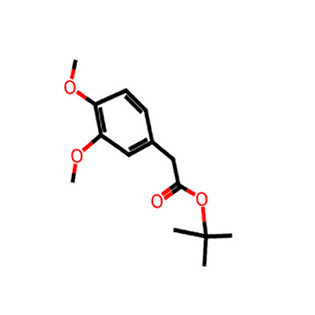 COc1ccc(CC(=O)OC(C)(C)C)cc1OC